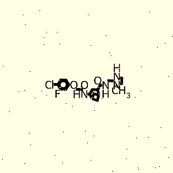 CN1CCNC1CNC(=O)C1CC(NC(=O)COc2ccc(Cl)c(F)c2)C2CC1C2